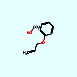 C=CCOc1ccccc1.O=C(O)O